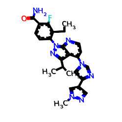 CCc1c(-n2nc(C(C)C)c3c(-n4cnc(-c5cnn(C)c5)c4)ccnc32)ccc(C(N)=O)c1F